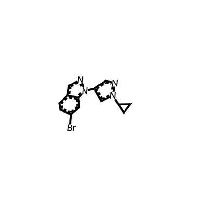 Brc1ccc2cnn(-c3cnn(C4CC4)c3)c2c1